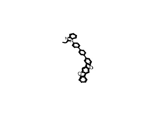 CCc1nc2ccccc2n1-c1ccc(-c2ccc(-c3ccc4oc5cc6c(cc5c4c3)oc3ccccc36)cc2)cc1